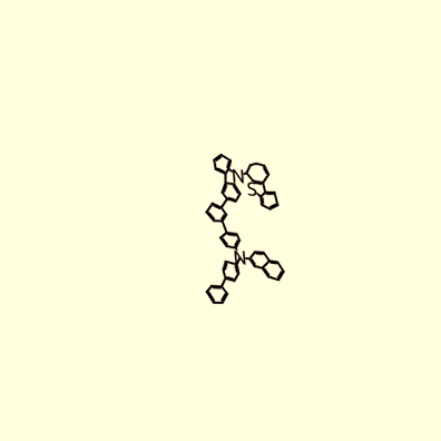 C1=Cc2c(sc3ccccc23)C(n2c3ccccc3c3cc(-c4cccc(-c5ccc(N(c6ccc(-c7ccccc7)cc6)c6ccc7ccccc7c6)cc5)c4)ccc32)CC1